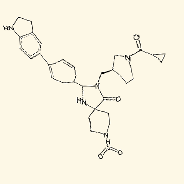 O=C(C1CC1)N1CC[C@@H](CN2C(=O)C3(CCN([SH](=O)=O)CC3)NC2C2C=CC(c3ccc4c(c3)CCN4)=CC2)C1